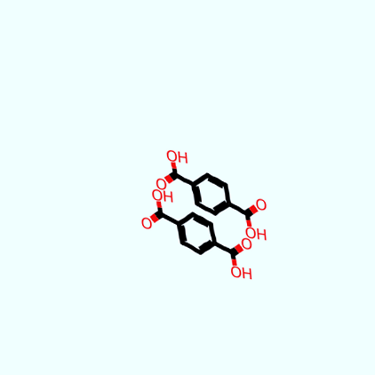 O=C(O)c1ccc(C(=O)O)cc1.O=C(O)c1ccc(C(=O)O)cc1